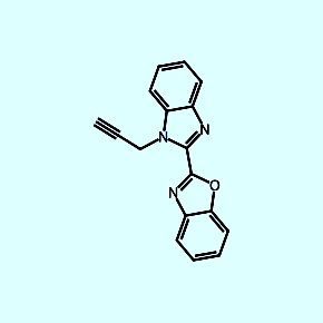 C#CCn1c(-c2nc3ccccc3o2)nc2ccccc21